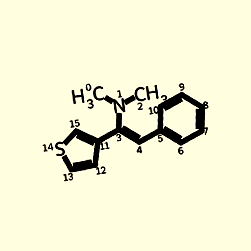 CN(C)C(=Cc1ccccc1)c1ccsc1